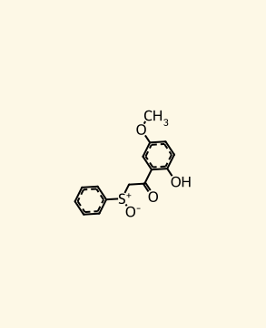 COc1ccc(O)c(C(=O)C[S+]([O-])c2ccccc2)c1